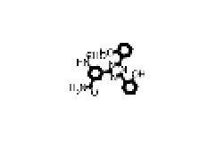 NC(=O)c1cc(NC=O)cc(-c2nc(-c3ccccc3O)nc(-c3ccccc3O)n2)c1